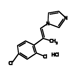 CC(=Cn1ccnc1)c1ccc(Cl)cc1Cl.Cl